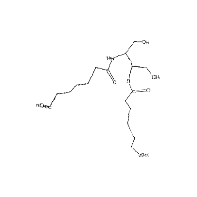 CCCCCCCCCCCCCCCC(=O)NC(CO)C(CO)OC(=O)CCCCCCCCCCCCCCC